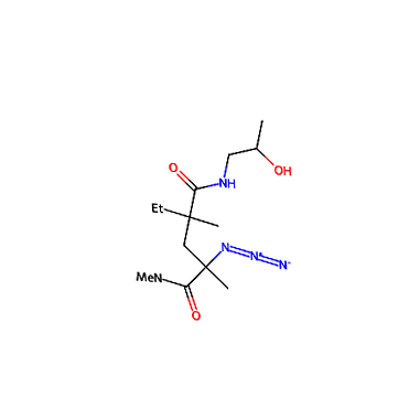 CCC(C)(CC(C)(N=[N+]=[N-])C(=O)NC)C(=O)NCC(C)O